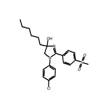 CCCCCCC1(O)CN(c2ccc(Cl)cc2)C(c2ccc(S(C)(=O)=O)cc2)=N1